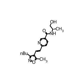 CCCCc1noc(C)c1/C=C/c1ccc(C(=O)N[C@H](C)CO)cn1